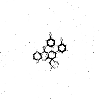 CCC([C@H]1CNCCO1)N1C(=O)[C@@](C)(CC(=O)O)C[C@H](c2cccc(Cl)c2)[C@H]1c1ccc(Cl)cc1